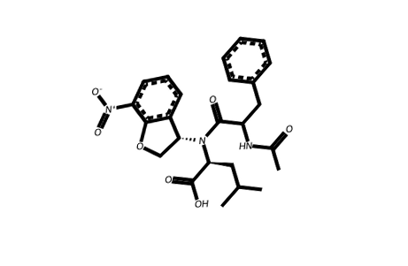 CC(=O)NC(Cc1ccccc1)C(=O)N([C@@H]1COc2c1cccc2[N+](=O)[O-])[C@@H](CC(C)C)C(=O)O